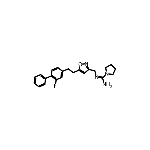 NC(=NCc1cc(CCc2ccc(-c3ccccc3)c(F)c2)on1)N1CCCC1